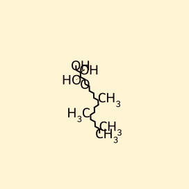 CC(C)CCCC(C)CCCC(C)CCCCOC[C@H](O)[C@H](O)CO